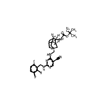 CC(C)(C)OC(=O)N[C@@H]1[C@@H]2CC3C[C@H]1C[C@@](CNc1nc(NCc4c(F)ccc(F)c4F)ncc1C#N)(C3)C2